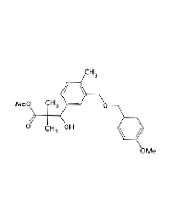 COC(=O)C(C)(C)C(O)c1ccc(C)c(COCc2ccc(OC)cc2)c1